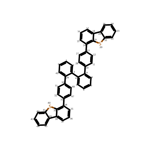 c1ccc(-c2ccccc2-c2ccc(-c3cccc4c3sc3ccccc34)cc2)c(-c2ccc(-c3cccc4c3sc3ccccc34)cc2)c1